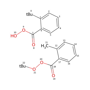 CC(C)(C)c1ccccc1C(=O)OO.Cc1ccccc1C(=O)OOC(C)(C)C